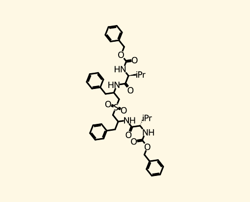 CC(C)[C@H](NC(=O)OCc1ccccc1)C(=O)NC(Cc1ccccc1)CS(=O)(=O)CC(Cc1ccccc1)NC(=O)[C@@H](NC(=O)OCc1ccccc1)C(C)C